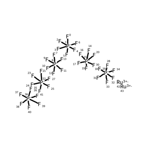 F[P-](F)(F)(F)(F)F.F[P-](F)(F)(F)(F)F.F[P-](F)(F)(F)(F)F.F[P-](F)(F)(F)(F)F.F[P-](F)(F)(F)(F)F.F[P-](F)(F)(F)(F)F.[Ru+3].[Ru+3]